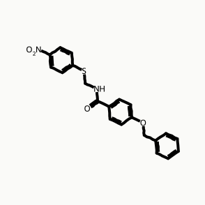 O=C(NCSc1ccc([N+](=O)[O-])cc1)c1ccc(OCc2ccccc2)cc1